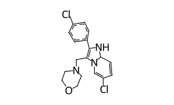 ClC1=CN2C(CN3CCOCC3)=C(c3ccc(Cl)cc3)NC2C=C1